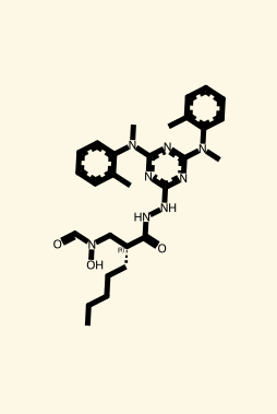 CCCCC[C@H](CN(O)C=O)C(=O)NNc1nc(N(C)c2ccccc2C)nc(N(C)c2ccccc2C)n1